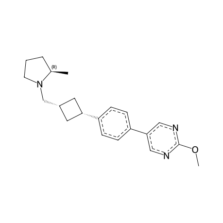 COc1ncc(-c2ccc([C@H]3C[C@@H](CN4CCC[C@H]4C)C3)cc2)cn1